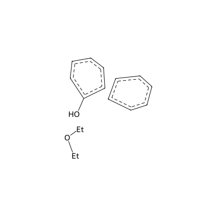 CCOCC.Oc1ccccc1.c1ccccc1